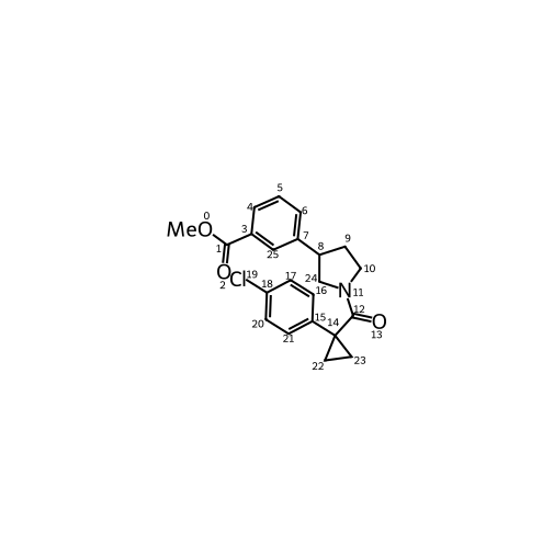 COC(=O)c1cccc(C2CCN(C(=O)C3(c4ccc(Cl)cc4)CC3)C2)c1